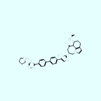 O=C(O)N[C@H]1CCc2ccn3c2C1C(=O)C[C@H](c1ncc(-c2ccc(-c4ccc(-c5nnc([C@@H]6CCCN6)[nH]5)cc4)cc2)[nH]1)C3